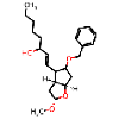 CCCCCC(O)C=CC1C(OCc2ccccc2)C[C@H]2O[C@H](OC)C[C@H]12